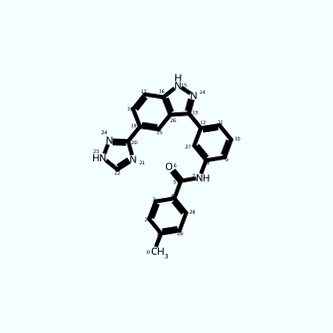 Cc1ccc(C(=O)Nc2cccc(-c3n[nH]c4ccc(-c5nc[nH]n5)cc34)c2)cc1